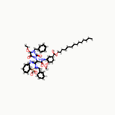 CCCCCCCCCCCCCCOC(=O)c1ccc(OC)c(NC(=O)C(C2=Nc3ccccc3S(=O)(=O)N2Cc2ccccc2)N2C(=O)C(OCC)N(Cc3ccccc3)C2=O)c1